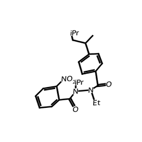 CCN(C(=O)c1ccc(C(C)CC(C)C)cc1)N(C(=O)c1ccccc1[N+](=O)[O-])C(C)C